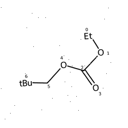 CCOC(=O)OCC(C)(C)C